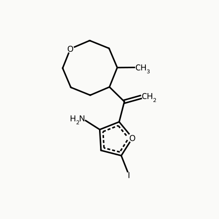 C=C(c1oc(I)cc1N)C1CCCOCCC1C